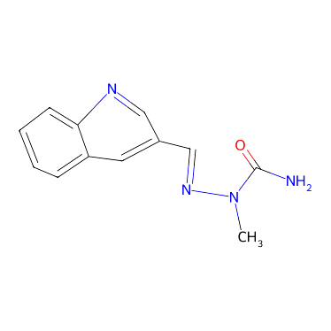 CN(N=Cc1cnc2ccccc2c1)C(N)=O